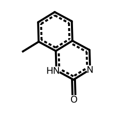 Cc1cccc2cnc(=O)[nH]c12